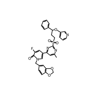 Cc1cc(-c2cc(F)c(=O)n(Cc3ccc4c(c3)OCO4)c2)nc(S(=O)(=O)CCC(Oc2cccnc2)c2ccccc2)n1